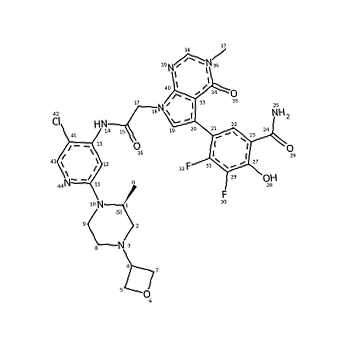 C[C@H]1CN(C2COC2)CCN1c1cc(NC(=O)Cn2cc(-c3cc(C(N)=O)c(O)c(F)c3F)c3c(=O)n(C)cnc32)c(Cl)cn1